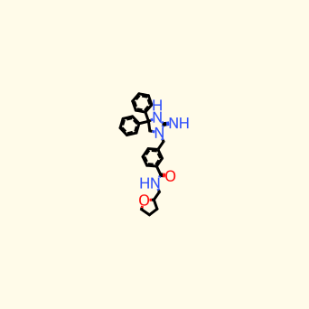 N=C1NC(c2ccccc2)(c2ccccc2)CN1Cc1cccc(C(=O)NCC2CCCO2)c1